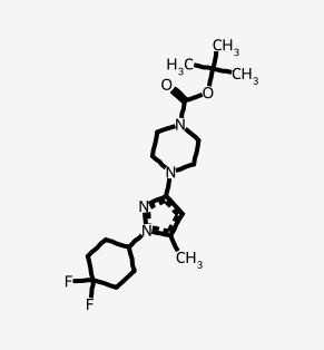 Cc1cc(N2CCN(C(=O)OC(C)(C)C)CC2)nn1C1CCC(F)(F)CC1